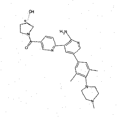 Cc1cc(-c2cnc(N)c(-c3ccc(C(=O)N4CC[C@H](O)C4)cn3)c2)cc(C)c1N1CCN(C)CC1